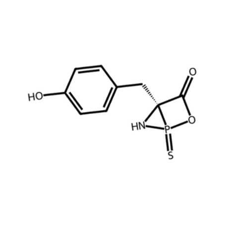 O=C1OP2(=S)N[C@@]12Cc1ccc(O)cc1